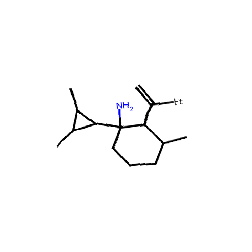 C=C(CC)C1C(C)CCCC1(N)C1C(C)C1C